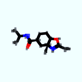 CCCC(CCC)NC(=O)[C@H]1CCC2OC(SC)=N[C@H]2C1